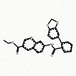 CCOC(=O)c1cnc2cc(NC(=O)c3ccccc3-c3ccc4c(c3)OCO4)ccc2c1